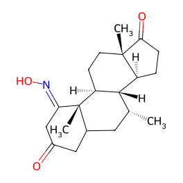 C[C@@H]1CC2CC(=O)C/C(=N\O)[C@]2(C)[C@H]2CC[C@]3(C)C(=O)CC[C@H]3[C@H]12